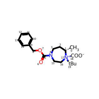 C[C@H]1CCN(C(=O)OCc2ccccc2)CC[N+]1(C(=O)[O-])C(C)(C)C